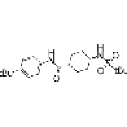 CC(C)(C)c1ccc(NC(=O)[C@H]2CC[C@H](NS(=O)(=O)C(C)(C)C)CC2)cc1